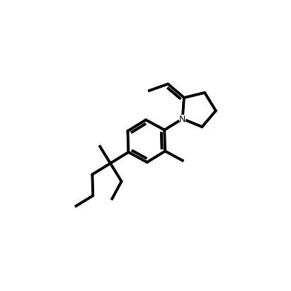 C/C=C1/CCCN1c1ccc(C(C)(CC)CCC)cc1C